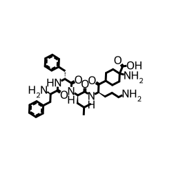 CC(C)C[C@@H](NC(=O)[C@@H](Cc1ccccc1)NC(=O)[C@H](N)Cc1ccccc1)C(=O)N[C@H](CCCN)C(=O)C1CCC(N)(C(=O)O)CC1